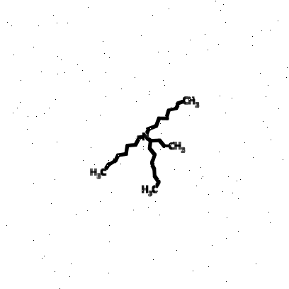 CCCCCCCCN(CCCCCCCC)C(CCC)CCCCCCC